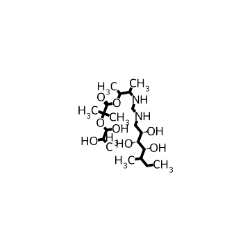 CCC(C)[C@@H](O)[C@H](O)[C@@H](O)CNCNC(C)C(C)OC(=O)C(C)(C)OC(O)C(C)O